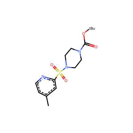 Cc1ccnc(S(=O)(=O)N2CCN(C(=O)OC(C)(C)C)CC2)c1